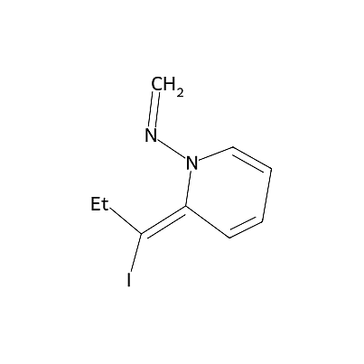 C=NN1C=CC=C/C1=C(\I)CC